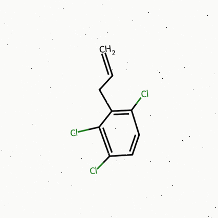 C=CCc1c(Cl)ccc(Cl)c1Cl